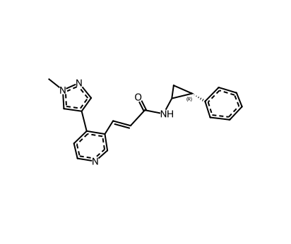 Cn1cc(-c2ccncc2C=CC(=O)NC2C[C@@H]2c2ccccc2)cn1